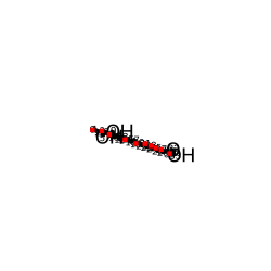 CCCCC(O)CCC(O)CCCCCCCCCCCCCCCCCCCCCC(=O)O